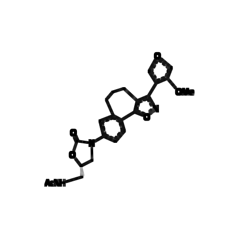 COc1cocc1-c1noc2c1CCCc1cc(N3C[C@H](CNC(C)=O)OC3=O)ccc1-2